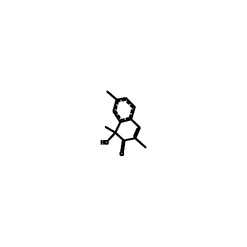 CC1=Cc2ccc(C)cc2C(C)(O)C1=O